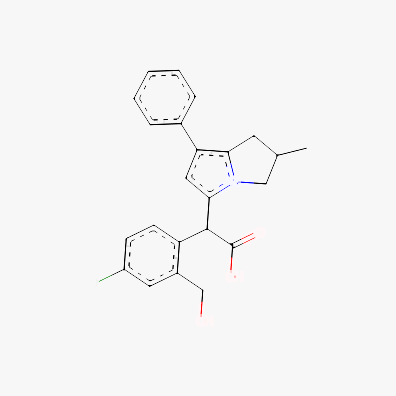 CC1Cc2c(-c3ccccc3)cc(C(C(=O)O)c3ccc(Cl)cc3CO)n2C1